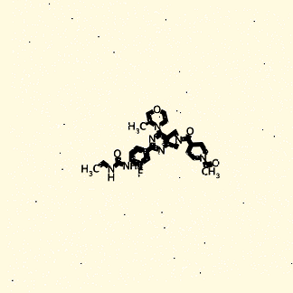 CCNC(=O)Nc1ccc(-c2nc3c(c(N4CCOC[C@@H]4C)n2)CN(C(=O)C2CCN(C(C)=O)CC2)C3)cc1F